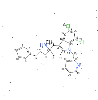 CNC1(CCCc2ccccc2)CCc2c(c3cc(Cl)cc(Cl)c3n2Cc2ccccn2)C1